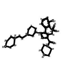 O=C(c1nn([C@@H]2CCCN(CCN3CCOCC3)C2)c2c1CS(=O)(=O)c1c(Cl)cccc1-2)N1CCOCC1